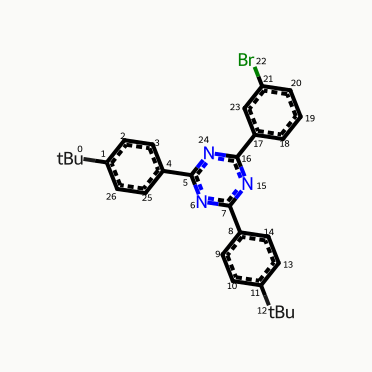 CC(C)(C)c1ccc(-c2nc(-c3ccc(C(C)(C)C)cc3)nc(-c3cccc(Br)c3)n2)cc1